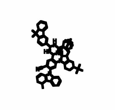 CC1CC=Cc2c1c1ccccc1n2-c1cc(N2C3=C(CC(C(C)(C)C)CC3)C3C=C(C(C)(C)C)C=CC32)c(C2NC(c3ccc4c(c3)C3=CC=CCC3C4(C)C)NC(C3C=CC=CC3)N2)cc1C#N